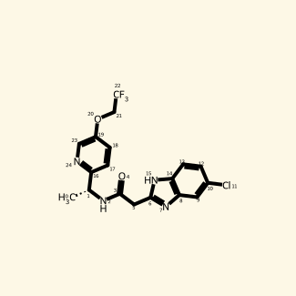 C[C@@H](NC(=O)Cc1nc2cc(Cl)ccc2[nH]1)c1ccc(OCC(F)(F)F)cn1